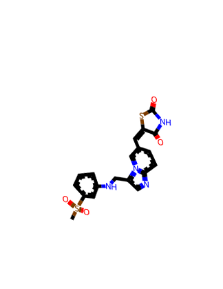 CS(=O)(=O)c1cccc(NCc2cnc3ccc(C=C4SC(=O)NC4=O)cn23)c1